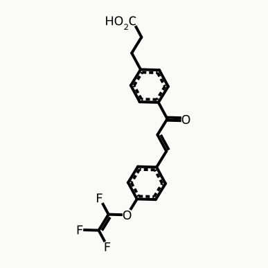 O=C(O)CCc1ccc(C(=O)C=Cc2ccc(OC(F)=C(F)F)cc2)cc1